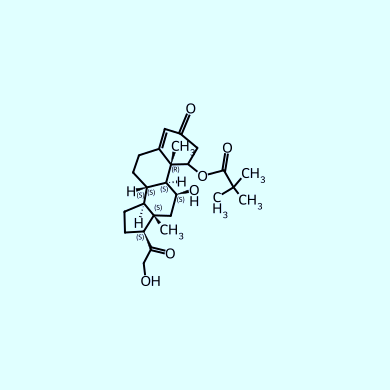 CC(C)(C)C(=O)OC1CC(=O)C=C2CC[C@@H]3[C@H]([C@@H](O)C[C@]4(C)[C@@H](C(=O)CO)CC[C@@H]34)[C@]21C